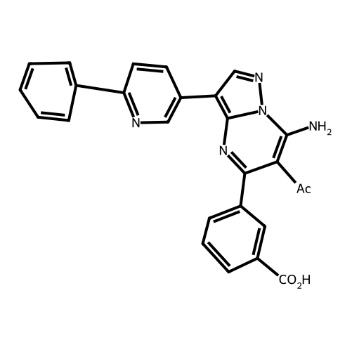 CC(=O)c1c(-c2cccc(C(=O)O)c2)nc2c(-c3ccc(-c4ccccc4)nc3)cnn2c1N